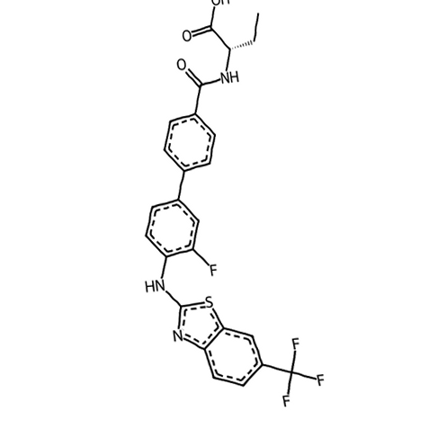 CC[C@H](NC(=O)c1ccc(-c2ccc(Nc3nc4ccc(C(F)(F)F)cc4s3)c(F)c2)cc1)C(=O)O